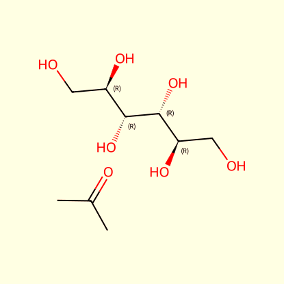 CC(C)=O.OC[C@@H](O)[C@@H](O)[C@H](O)[C@H](O)CO